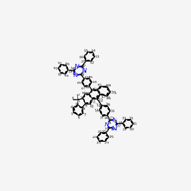 CC1(C)c2ccccc2-c2cc3c(-c4ccc(-c5nc(-c6ccccc6)nc(-c6ccccc6)n5)cc4)c4ccccc4c(-c4ccc(-c5nc(-c6ccccc6)nc(-c6ccccc6)n5)cc4)c3cc21